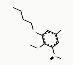 CCCCOc1cc(Br)cc([N+](=O)[O-])c1NC